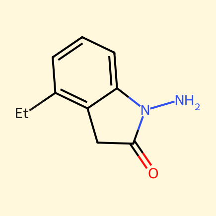 CCc1cccc2c1CC(=O)N2N